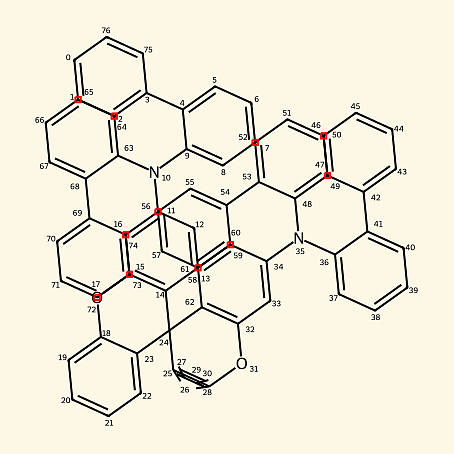 c1ccc(-c2ccccc2N(c2ccc3c(c2)Oc2ccccc2C32c3ccccc3Oc3cc(N(c4ccccc4-c4ccccc4)c4ccccc4-c4ccccc4)ccc32)c2ccccc2-c2ccccc2)cc1